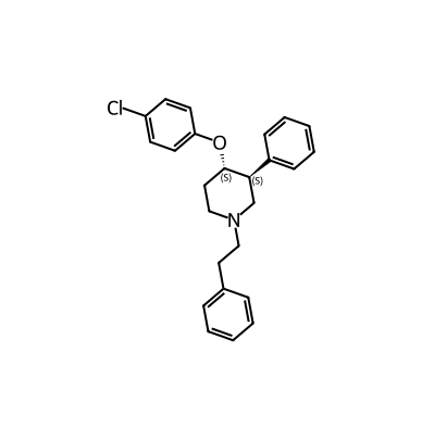 Clc1ccc(O[C@H]2CCN(CCc3ccccc3)C[C@@H]2c2ccccc2)cc1